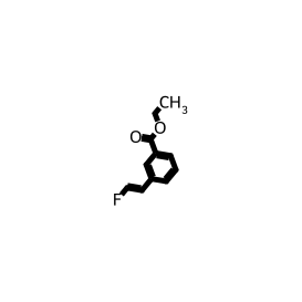 CCOC(=O)c1cccc(C=CF)c1